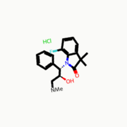 CNC[C@H](O)[C@H](c1ccccc1)N1C(=O)C(C)(C)c2cccc(F)c21.Cl